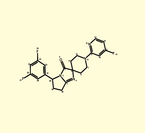 O=C1N2C(=NC13CCN(c1cc(F)ccn1)CC3)CCC2c1cc(F)cc(F)c1